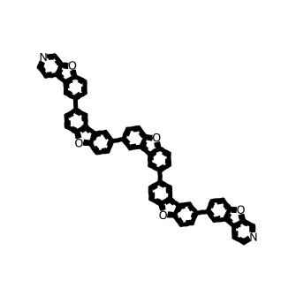 c1cc2c(cn1)oc1ccc(-c3ccc4oc5ccc(-c6ccc7oc8ccc(-c9ccc%10oc%11ccc(-c%12ccc%13oc%14cnccc%14c%13c%12)cc%11c%10c9)cc8c7c6)cc5c4c3)cc12